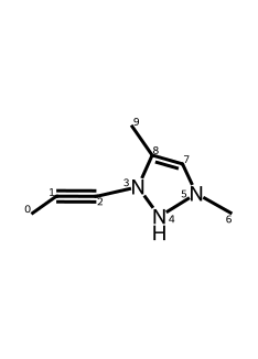 CC#CN1NN(C)C=C1C